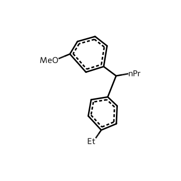 [CH2]CCC(c1ccc(CC)cc1)c1cccc(OC)c1